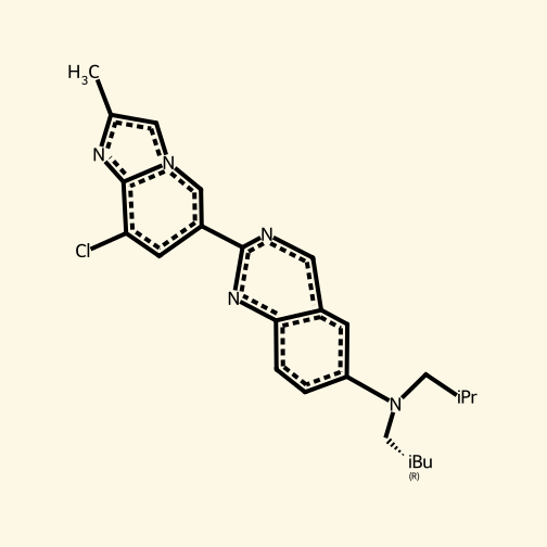 CC[C@@H](C)CN(CC(C)C)c1ccc2nc(-c3cc(Cl)c4nc(C)cn4c3)ncc2c1